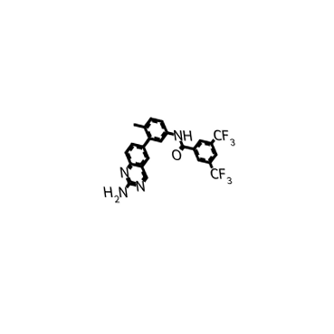 Cc1ccc(NC(=O)c2cc(C(F)(F)F)cc(C(F)(F)F)c2)cc1-c1ccc2nc(N)ncc2c1